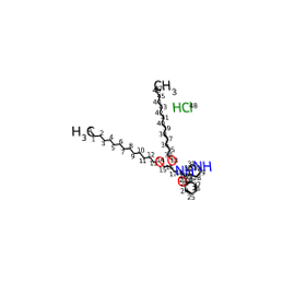 CCCCCCCCCCCCCCOCC(CNC(=O)C1(c2ccccc2)CCNCC1)OCCCCCCCCCCCCCC.Cl